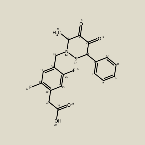 CC1C(=O)C(=O)C(c2ccccc2)SN1Cc1cc(F)c(CC(=O)O)cc1F